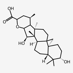 C[C@@H]1CC(C(=O)O)OC2C1[C@@]1(C)CCC34C[C@@]35CC[C@H](O)C(C)(C)[C@@H]5CC[C@H]4[C@]1(C)[C@H]2O